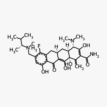 C=C1C(C(N)=O)=C(O)[C@@H](N(C)C)[C@@H]2C[C@@H]3Cc4c(F)c(CN(C)[C@H](C)C(C)C)cc(O)c4C(=O)C3=C(O)[C@]12O